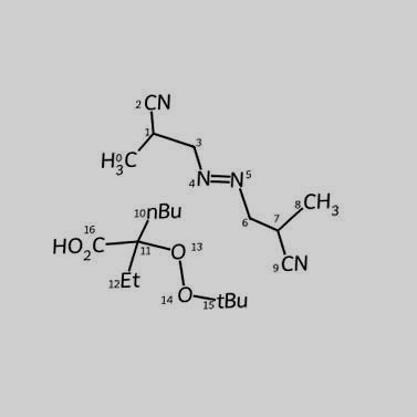 CC(C#N)CN=NCC(C)C#N.CCCCC(CC)(OOC(C)(C)C)C(=O)O